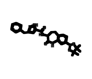 CC1(C)OB(c2ccc3c(c2)NC(=O)C(NC(=O)c2cc(Cc4ccccc4)n[nH]2)CC3)OC1(C)C